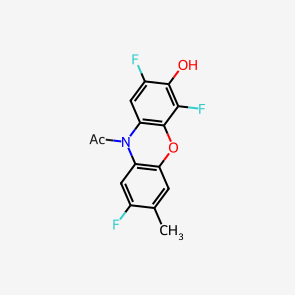 CC(=O)N1c2cc(F)c(C)cc2Oc2c1cc(F)c(O)c2F